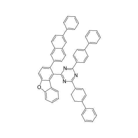 C1=C(c2ccccc2)CCC(c2nc(-c3ccc(-c4ccccc4)cc3)nc(-c3c(-c4ccc5cc(-c6ccccc6)ccc5c4)ccc4oc5ccccc5c34)n2)=C1